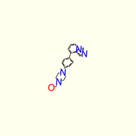 O=CN1CCN(c2ccc(-c3cccn4cncc34)cc2)CC1